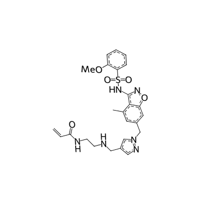 C=CC(=O)NCCNCc1cnn(Cc2cc(C)c3c(NS(=O)(=O)c4ccccc4OC)noc3c2)c1